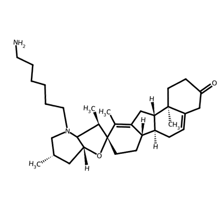 CC1=C2C[C@H]3[C@@H](CC=C4CC(=O)CC[C@@]43C)[C@@H]2CC[C@]12O[C@@H]1C[C@H](C)CN(CCCCCCN)C1[C@H]2C